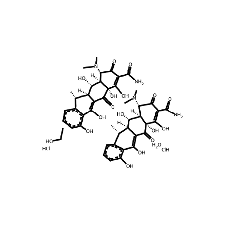 CCO.C[C@H]1c2cccc(O)c2C(O)=C2C(=O)[C@]3(O)C(O)=C(C(N)=O)C(=O)[C@@H](N(C)C)[C@@H]3[C@@H](O)[C@@H]21.C[C@H]1c2cccc(O)c2C(O)=C2C(=O)[C@]3(O)C(O)=C(C(N)=O)C(=O)[C@@H](N(C)C)[C@@H]3[C@@H](O)[C@@H]21.Cl.Cl.O